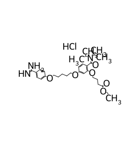 CCOC(=O)CCCOc1cc(OCCCCCOc2ccc(C(=N)N)cc2)ccc1C(=O)N(C(C)C)C(C)C.Cl